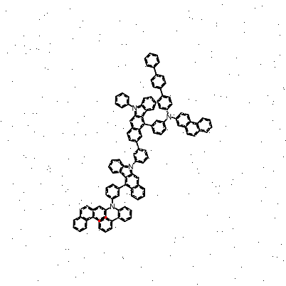 c1ccc(-c2ccc(-c3ccc(N(c4cccc(-c5c6cc(-c7cccc(-n8c9ccccc9c9c(-c%10cccc(N(c%11ccc%12c(ccc%13ccccc%13%12)c%11)c%11ccccc%11-c%11ccccc%11)c%10)c%10ccccc%10cc98)c7)ccc6cc6c5c5ccccc5n6-c5ccccc5)c4)c4ccc5c(ccc6ccccc65)c4)cc3)cc2)cc1